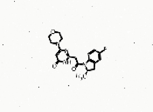 C[C@@H]1Cc2cc(F)ccc2N1C(=O)Cc1nc(N2CCOCC2)cc(=O)[nH]1